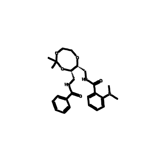 CN(C)c1ccccc1C(=O)NC[C@H]1OCCOC(C)(C)O[C@H]1CNC(=O)c1ccccc1